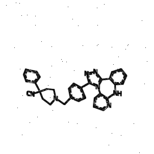 [C-]#[N+]C1(c2ccccc2)CCN(Cc2ccc(-c3nnc4n3-c3cccnc3Nc3ccccc3-4)cc2)CC1